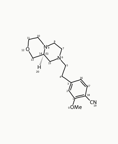 COc1cc(CCN2CCN3CCOC[C@@H]3C2)ccc1C#N